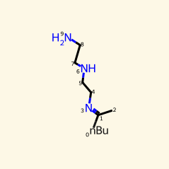 CCCCC(C)=NCCNCCN